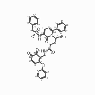 CCCCC(CCC(=O)NCC1=C(Oc2ccccn2)C=CC(=O)C1=O)n1c(-c2ccccc2)ncc(NS(=O)(=O)Cc2ccccc2)c1=O